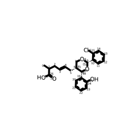 CC(CC=CC[C@@H]1CO[C@H](c2ccccc2Cl)O[C@@H]1c1ccccc1O)C(=O)O